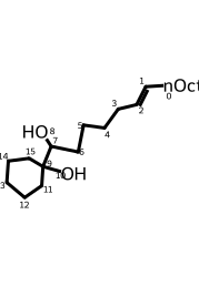 CCCCCCCCC=CCCCCC(O)C1(O)CCCCC1